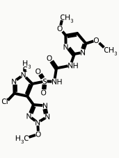 COc1cc(OC)nc(NC(=O)NS(=O)(=O)c2c(-c3nnn(OC)n3)c(Cl)nn2C)n1